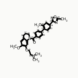 COc1cc2c(cc1OCCN(C)C)N(C(=O)c1ccc(-c3ccc(-c4noc(C)n4)cc3C)cc1)CCC2